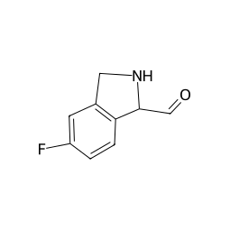 O=CC1NCc2cc(F)ccc21